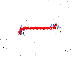 CC(C)C[C@H](NC(=O)[C@@H](O)[C@H](N)Cc1ccccc1)C(=O)NCCOCCOCCOCCOCCOCCOCCOCCOCCOCCOCCOCCOCCOCCOCCOCCOc1ccc(C(=O)Nc2ccc3oc(-c4ccc(=O)n(C)n4)nc3c2)nc1